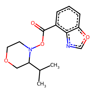 CC(C)C1COCCN1OC(=O)c1cccc2ocnc12